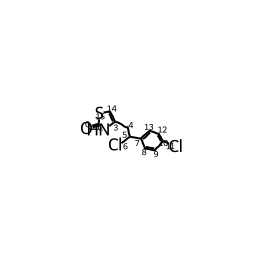 O=c1[nH]c(CC(Cl)c2ccc(Cl)cc2)cs1